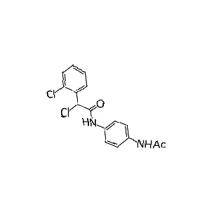 CC(=O)Nc1ccc(NC(=O)C(Cl)c2ccccc2Cl)cc1